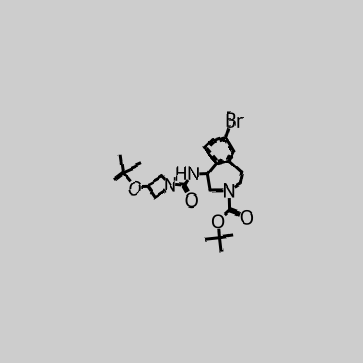 CC(C)(C)OC(=O)N1CCc2cc(Br)ccc2C(NC(=O)N2CC(OC(C)(C)C)C2)C1